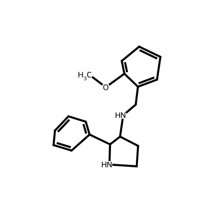 COc1ccccc1CNC1CCNC1c1ccccc1